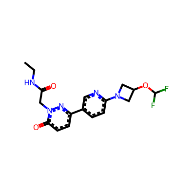 CCNC(=O)Cn1nc(-c2ccc(N3CC(OC(F)F)C3)nc2)ccc1=O